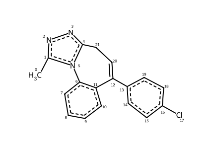 Cc1nnc2n1-c1ccccc1C(c1ccc(Cl)cc1)=CC2